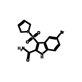 NC(=O)c1[nH]c2ccc(Br)cc2c1S(=O)(=O)N1CC=CC1